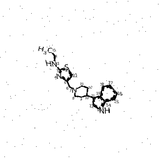 CCNc1nc(CN2CCC(c3c[nH]c4ccccc34)CC2)cs1